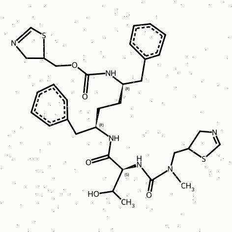 CC(O)[C@H](NC(=O)N(C)CC1CN=CS1)C(=O)N[C@H](CC[C@H](Cc1ccccc1)NC(=O)OCC1CN=CS1)Cc1ccccc1